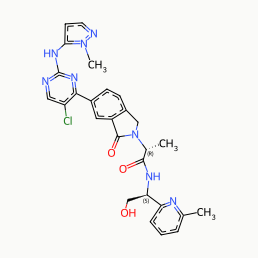 Cc1cccc([C@@H](CO)NC(=O)[C@@H](C)N2Cc3ccc(-c4nc(Nc5ccnn5C)ncc4Cl)cc3C2=O)n1